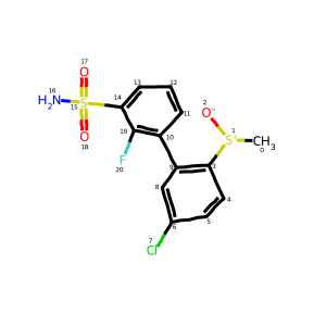 C[S+]([O-])c1ccc(Cl)cc1-c1cccc(S(N)(=O)=O)c1F